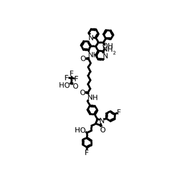 Nc1ncccc1C(c1ccccc1NC(=O)CCCCCCCC(=O)NCc1ccc(C2C(CCC(O)c3ccc(F)cc3)C(=O)N2c2ccc(F)cc2)cc1)C(c1ccccn1)C(O)c1ccccc1.O=C(O)C(F)(F)F